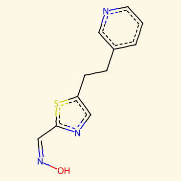 O/N=C\c1ncc(CCc2cccnc2)s1